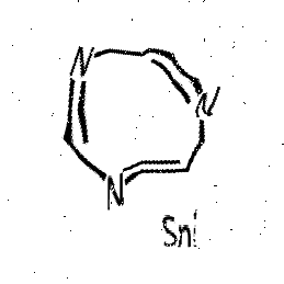 [Sn].c1ncncn1